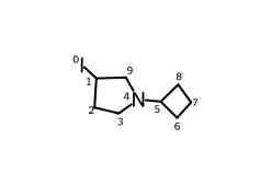 IC1CCN(C2CCC2)C1